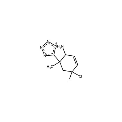 CC1(c2nnn[nH]2)CC(Cl)(I)C=CC1N